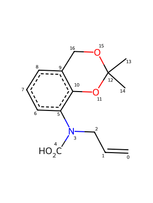 C=CCN(C(=O)O)c1cccc2c1OC(C)(C)OC2